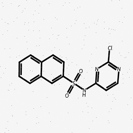 O=S(=O)(Nc1ccnc(Cl)n1)c1ccc2ccccc2c1